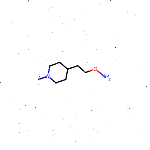 CN1CCC(CCON)CC1